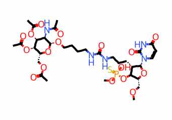 COC[C@H]1O[C@@H](n2ccc(=O)[nH]c2=O)[C@@H](CCCNC(=O)NCCCCO[C@@H]2O[C@H](COC(C)=O)[C@H](OC(C)=O)[C@H](OC(C)=O)[C@H]2NC(C)=O)C1OP(O)(=S)OC